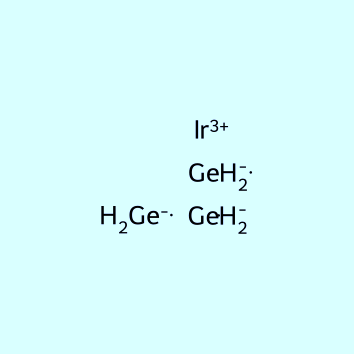 [GeH2-].[GeH2-].[GeH2-].[Ir+3]